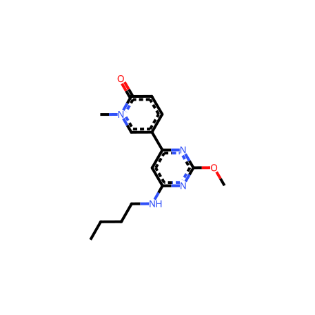 CCCCNc1cc(-c2ccc(=O)n(C)c2)nc(OC)n1